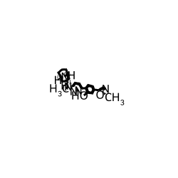 Cc1ncc(-c2ccc(-c3ccc(N(C)[C@@H]4C[C@H]5CCC[C@@H](C4)N5)nn3)c(O)c2)o1